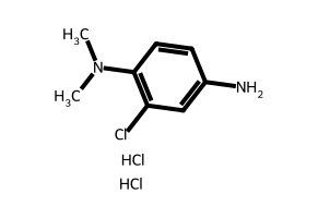 CN(C)c1ccc(N)cc1Cl.Cl.Cl